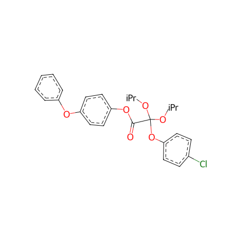 CC(C)OC(Oc1ccc(Cl)cc1)(OC(C)C)C(=O)Oc1ccc(Oc2ccccc2)cc1